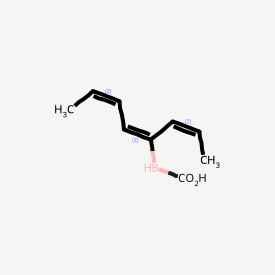 C\C=C/C=C(BC(=O)O)\C=C/C